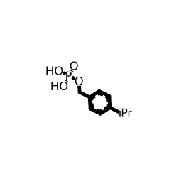 CC(C)c1ccc(COP(=O)(O)O)cc1